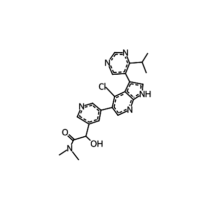 CC(C)c1ncncc1-c1c[nH]c2ncc(-c3cncc(C(O)C(=O)N(C)C)c3)c(Cl)c12